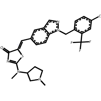 CN1CCC(N(C)C2=NC(=O)/C(=C/c3ccc4c(cnn4Cc4ccc(Cl)cc4C(F)(F)F)c3)S2)C1